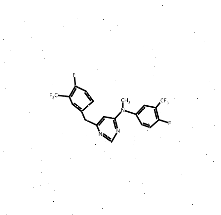 CN(c1ccc(F)c(C(F)(F)F)c1)c1cc(Cc2ccc(F)c(C(F)(F)F)c2)ncn1